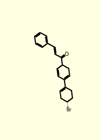 O=C(/C=C/c1ccccc1)C1C=CC(C2=CC[C@@H](Br)CC2)=CC1